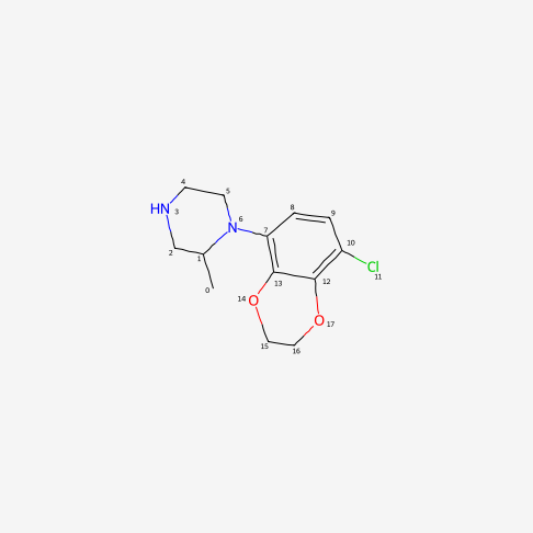 CC1CNCCN1c1ccc(Cl)c2c1OCCO2